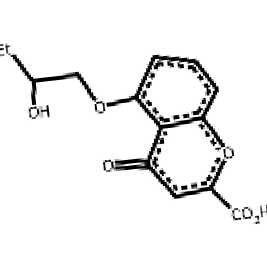 CCC(O)COc1cccc2oc(C(=O)O)cc(=O)c12